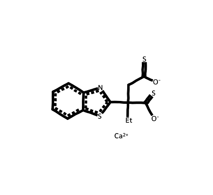 CCC(CC([O-])=S)(C([O-])=S)c1nc2ccccc2s1.[Ca+2]